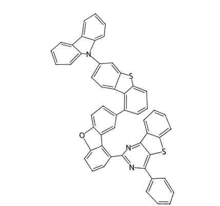 c1ccc(-c2nc(-c3cccc4oc5ccc(-c6cccc7sc8cc(-n9c%10ccccc%10c%10ccccc%109)ccc8c67)cc5c34)nc3c2sc2ccccc23)cc1